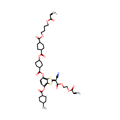 C=CC(=O)OCCCCOC(=O)C1CCC(C(=O)OC2CCC(C(=O)Oc3ccc(OC(=O)C4CCC(C)CC4)c4c3S/C(=C(\C#N)C(=O)OCCOC(=O)C=C)S4)CC2)CC1